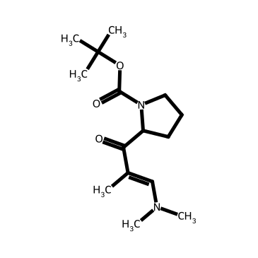 CC(=CN(C)C)C(=O)C1CCCN1C(=O)OC(C)(C)C